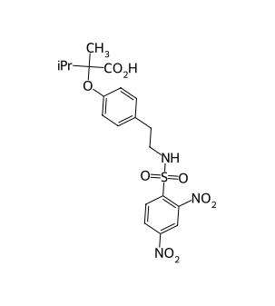 CC(C)C(C)(Oc1ccc(CCNS(=O)(=O)c2ccc([N+](=O)[O-])cc2[N+](=O)[O-])cc1)C(=O)O